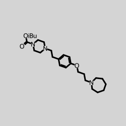 CC(C)COC(=O)N1CCN(CCc2ccc(OCCCN3CCCCCC3)cc2)CC1